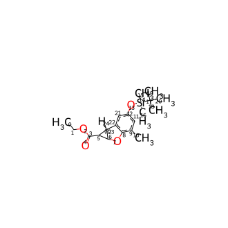 CCOC(=O)C1C2Oc3c(C)cc(O[Si](C)(C)C(C)(C)C)cc3[C@H]21